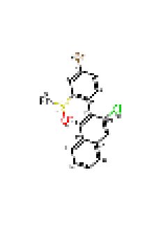 CC[S+]([O-])c1cc(Br)ccc1-c1cc2ccccc2cc1Cl